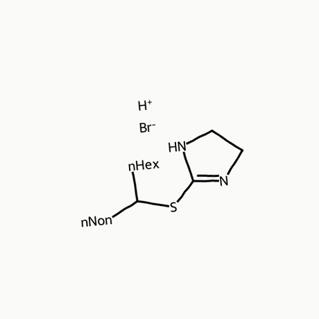 CCCCCCCCCC(CCCCCC)SC1=NCCN1.[Br-].[H+]